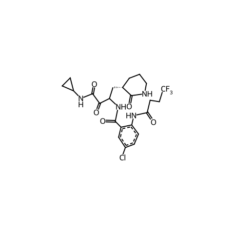 O=C(CCC(F)(F)F)Nc1ccc(Cl)cc1C(=O)NC(C[C@@H]1CCCNC1=O)C(=O)C(=O)NC1CC1